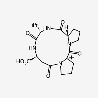 CC(C)[C@@H]1NC(=O)[C@@H]2CCCN2C(=O)[C@H]2CCCN2C(=O)C[C@@H](C(=O)O)NC1=O